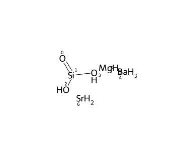 O=[Si](O)O.[BaH2].[MgH2].[SrH2]